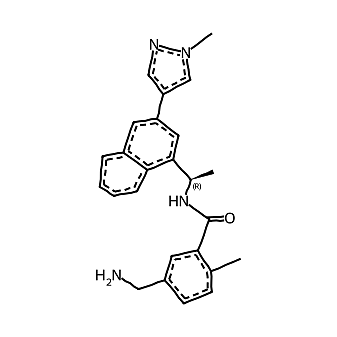 Cc1ccc(CN)cc1C(=O)N[C@H](C)c1cc(-c2cnn(C)c2)cc2ccccc12